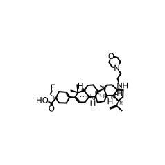 C=C(C)[C@@H]1CC[C@]2(NCCN3CCOCC3)CC[C@]3(C)[C@H](CC[C@@H]4[C@@]5(C)CC=C(C6=CC[C@](CF)(C(=O)O)CC6)C(C)(C)[C@@H]5CC[C@]43C)[C@@H]12